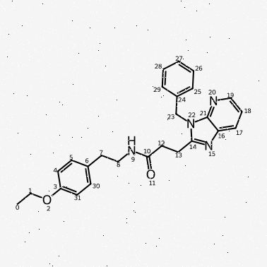 CCOc1ccc(CCNC(=O)CCc2nc3cccnc3n2Cc2ccccc2)cc1